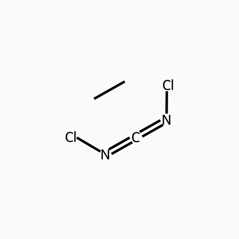 CC.ClN=C=NCl